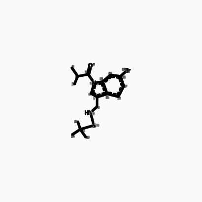 CC(C)C(=O)n1cc(CNSC(C)(C)C)c2ccc(Br)cc21